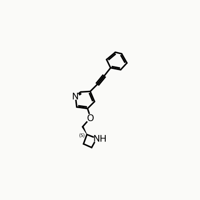 C(#Cc1cncc(OC[C@@H]2CCN2)c1)c1ccccc1